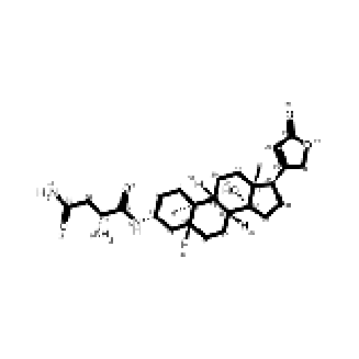 C[C@@]12CC[C@@H](NC(=O)[C@H](N)CC(N)=O)C[C@H]1CC[C@@H]1[C@H]2CC[C@]2(C)[C@@H](C3=CC(=O)OC3)CC[C@@]12O